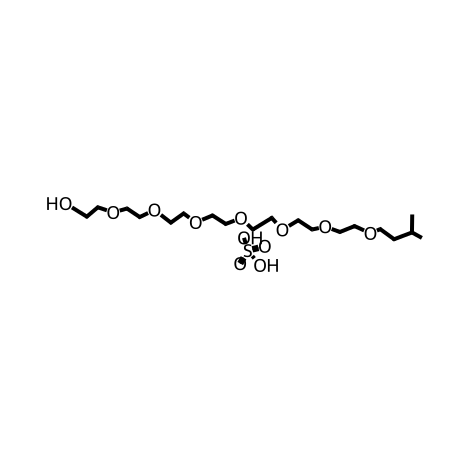 CC(C)CCOCCOCCOCCOCCOCCOCCOCCO.O=S(=O)(O)O